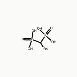 O=P(O)(O)[CH]([Sn])P(=O)(O)O